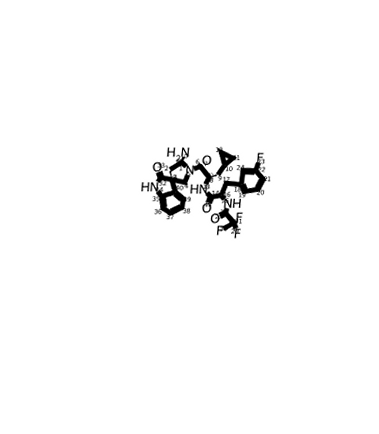 N[C@@H]1C[C@@]2(CN1C(=O)[C@H](CC1CC1)NC(=O)C(Cc1cccc(F)c1)NC(=O)C(F)(F)F)C(=O)Nc1ccccc12